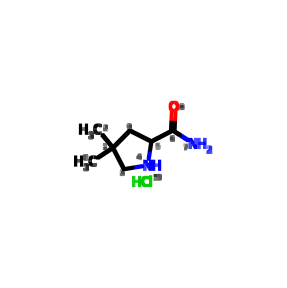 CC1(C)CNC(C(N)=O)C1.Cl